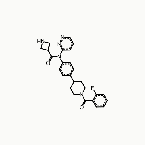 O=C(c1ccccc1F)N1CCC(c2ccc(N(C(=O)C3CNC3)c3cccnn3)cc2)CC1